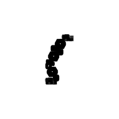 CC(C)(C)Oc1ccc(OC(C)(C)c2ccc(S(=O)(=O)c3ccc(C(C)(C)C)cc3)cc2)cc1